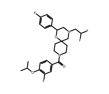 CC(C)Oc1ccc(C(=O)N2CCC3(CC2)CN(CC(F)F)CC(c2ccc(F)cc2)O3)cc1F